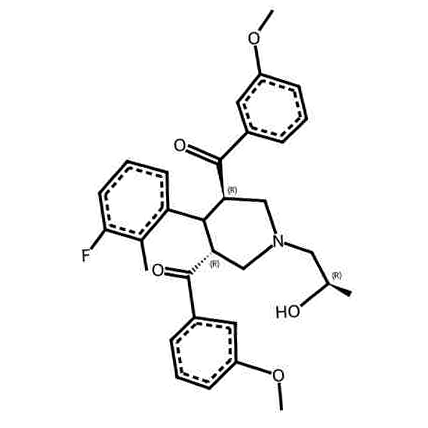 COc1cccc(C(=O)[C@H]2CN(C[C@@H](C)O)C[C@H](C(=O)c3cccc(OC)c3)C2c2cccc(F)c2C)c1